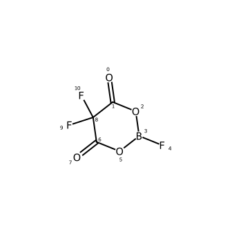 O=C1OB(F)OC(=O)C1(F)F